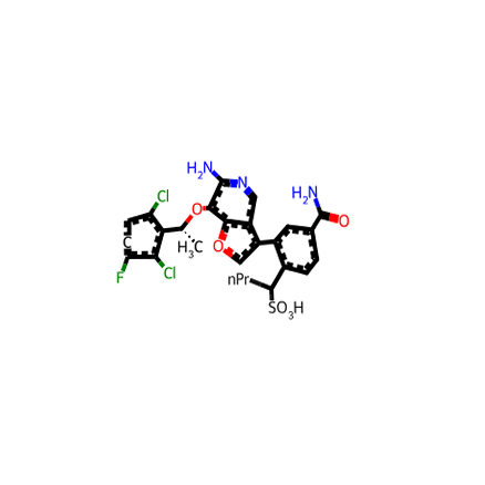 CCCC(c1ccc(C(N)=O)cc1-c1coc2c(O[C@H](C)c3c(Cl)ccc(F)c3Cl)c(N)ncc12)S(=O)(=O)O